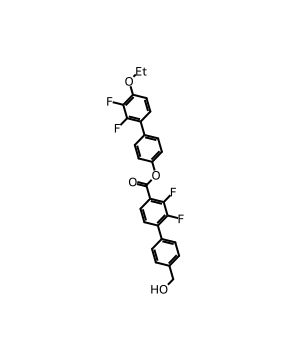 CCOc1ccc(-c2ccc(OC(=O)c3ccc(-c4ccc(CO)cc4)c(F)c3F)cc2)c(F)c1F